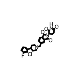 O=C1CCC(N2C(=O)c3ccc(CN4CCC(c5cccc(F)c5Cl)CC4)cc3C2=O)C(=O)N1